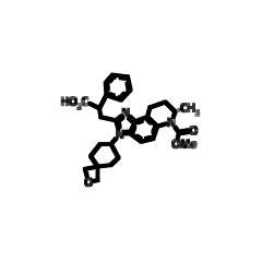 COC(=O)N1c2ccc3c(nc(CC(C(=O)O)c4ccccc4)n3C3CCC4(CC3)COC4)c2CC[C@@H]1C